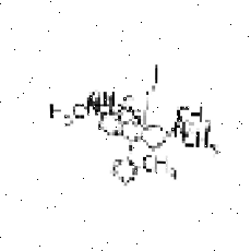 Cc1ccccc1C1=C2C=CC(=[N+](C)C)C=C2[Si](C)(CCCI)c2cc(N(C)C)ccc21